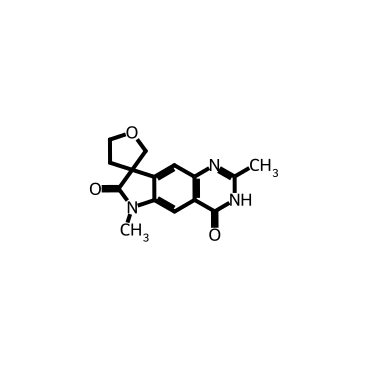 Cc1nc2cc3c(cc2c(=O)[nH]1)N(C)C(=O)C31CCOC1